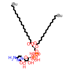 CCC(C)CCCCCCCCCCCCCCCCCCCCC(=O)OC[C@H](COP(=O)(O)OP(=O)(O)OC[C@H]1O[C@@H](n2ccc(N)nc2=O)C(O)[C@H]1O)OC(=O)CCCCCCCCCCCCCCCCC(C)CC